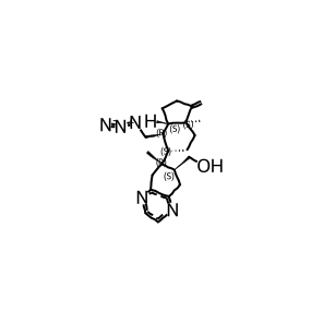 C=C1CC[C@H]2[C@H](CN=[N+]=[N-])[C@@H]([C@@]3(C)Cc4nccnc4C[C@@H]3CO)CC[C@]12C